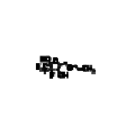 C=CCOCC1OC(O)(C(F)(F)F)C(F)(F)C1O